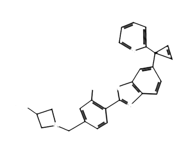 O=C(O)C1CN(Cc2ccc(-c3nc4ccc(C5(c6ccccn6)C=C5)cc4s3)c(F)c2)C1